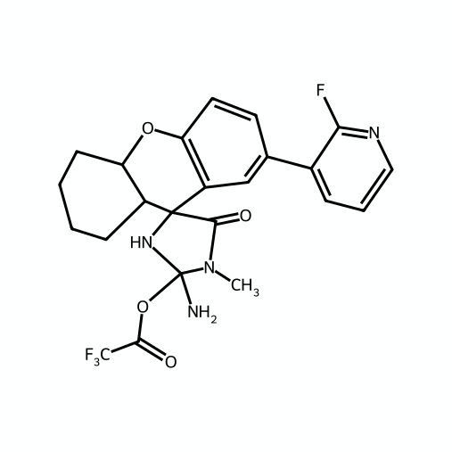 CN1C(=O)C2(NC1(N)OC(=O)C(F)(F)F)c1cc(-c3cccnc3F)ccc1OC1CCCCC12